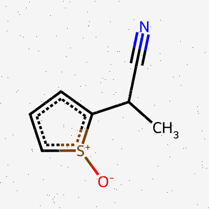 CC(C#N)c1ccc[s+]1[O-]